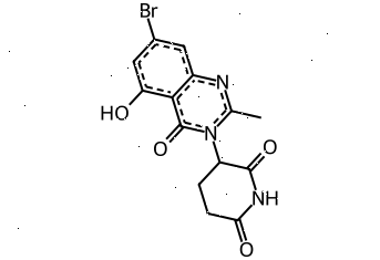 Cc1nc2cc(Br)cc(O)c2c(=O)n1C1CCC(=O)NC1=O